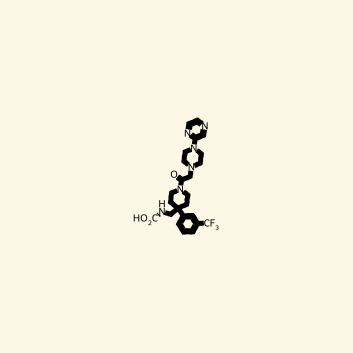 O=C(O)NCC1(c2cccc(C(F)(F)F)c2)CCN(C(=O)CN2CCN(c3cnccn3)CC2)CC1